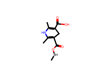 CBOC(=O)C1=C(C)NC(C)=C(C(=O)O)C1